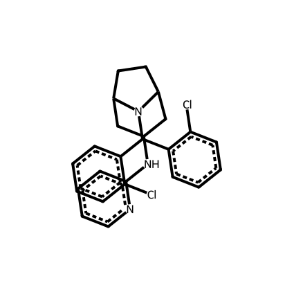 Clc1ccccc1C(c1ccccc1Cl)N1C2CCC1CC(Nc1ccccn1)C2